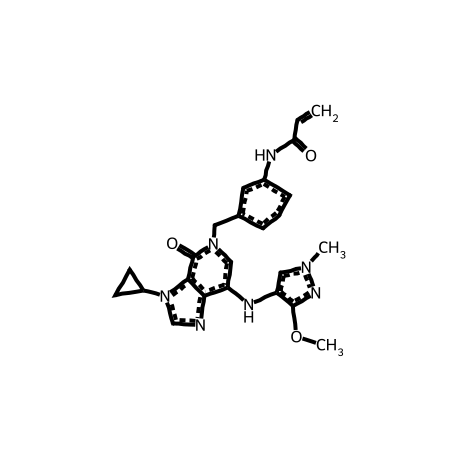 C=CC(=O)Nc1cccc(Cn2cc(Nc3cn(C)nc3OC)c3ncn(C4CC4)c3c2=O)c1